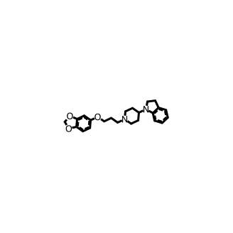 c1ccc2c(c1)CCN2C1CCN(CCCOc2ccc3c(c2)OCO3)CC1